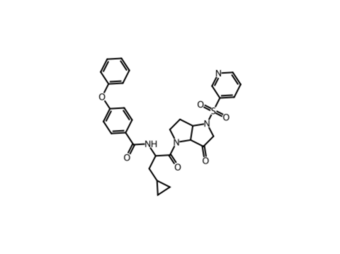 O=C(NC(CC1CC1)C(=O)N1CCC2C1C(=O)CN2S(=O)(=O)c1cccnc1)c1ccc(Oc2ccccc2)cc1